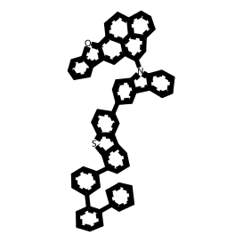 c1ccc(-c2ccccc2-c2cccc(-c3cccc4c3sc3ccc(-c5ccc6c(c5)c5ccccc5n6-c5cc6cccc7ccc8c9oc%10ccccc%10c9cc5c8c76)cc34)c2)cc1